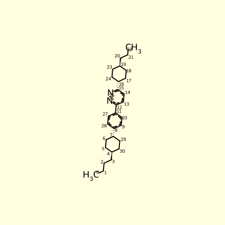 CCCC[C@H]1CC[C@H](c2ccc(-c3ccc([C@H]4CC[C@H](CCC)CC4)nn3)cc2)CC1